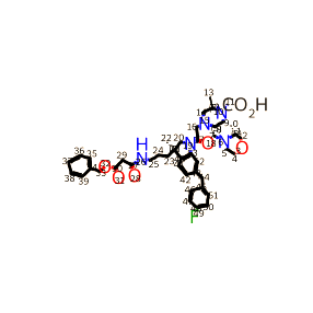 C[C@@H]1COCCN1C[C@H]1CN(C(=O)O)[C@H](C)CN1CC(=O)N1C[C@](C)(CCCNC(=O)CC(=O)OCc2ccccc2)c2ccc(Cc3ccc(F)cc3)cc21